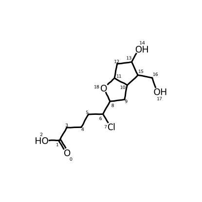 O=C(O)CCCC(Cl)C1CC2C(CC(O)C2CO)O1